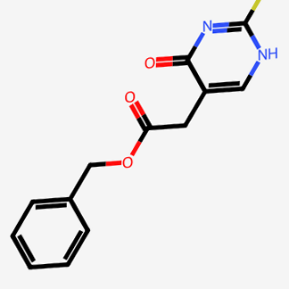 O=C(Cc1c[nH]c(S)nc1=O)OCc1ccccc1